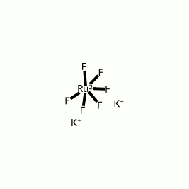 [F][Ru-2]([F])([F])([F])([F])[F].[K+].[K+]